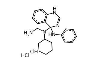 Cl.Cl.NCN(C1CCCCC1)C1(Nc2ccccc2)N=CNc2ccccc21